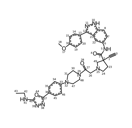 C#CC1(C(=O)Nc2ccc3[nH]nc(-c4ccc(OC)cc4)c3c2)CCN(CC(=O)N2CCN(c3ccc(-c4nnc(NCC)o4)cc3)CC2)C1